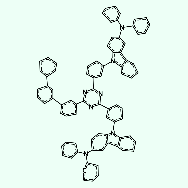 c1ccc(-c2cccc(-c3cccc(-c4nc(-c5cccc(-n6c7ccccc7c7cc(N(c8ccccc8)c8ccccc8)ccc76)c5)nc(-c5cccc(-n6c7ccccc7c7cc(N(c8ccccc8)c8ccccc8)ccc76)c5)n4)c3)c2)cc1